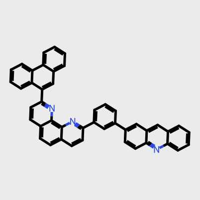 c1cc(-c2ccc3nc4ccccc4cc3c2)cc(-c2ccc3ccc4ccc(-c5cc6ccccc6c6ccccc56)nc4c3n2)c1